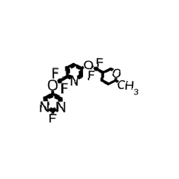 CC1CCC(C(F)(F)Oc2ccc(C(F)(F)Oc3cnc(F)nc3)nc2)CO1